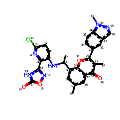 Cc1cc(C(C)Nc2ccc(Cl)nc2-c2noc(=O)[nH]2)c2oc(-c3ccc4c(cnn4C)c3)c(C)c(=O)c2c1